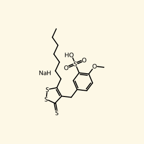 CCCCCCCc1ssc(=S)c1Cc1ccc(OC)c(S(=O)(=O)O)c1.[NaH]